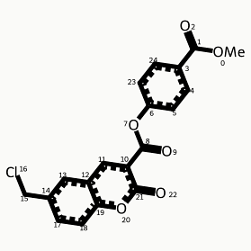 COC(=O)c1ccc(OC(=O)c2cc3cc(CCl)ccc3oc2=O)cc1